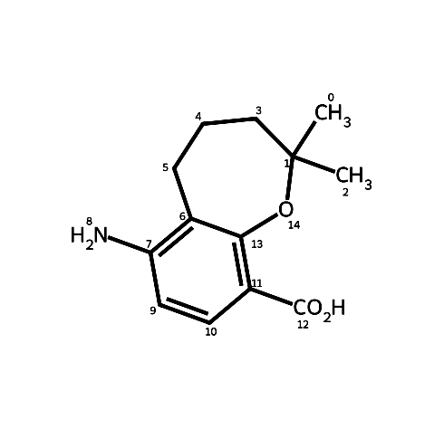 CC1(C)CCCc2c(N)ccc(C(=O)O)c2O1